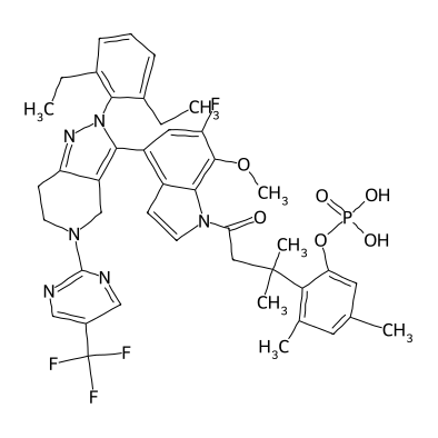 CCc1cccc(CC)c1-n1nc2c(c1-c1cc(F)c(OC)c3c1ccn3C(=O)CC(C)(C)c1c(C)cc(C)cc1OP(=O)(O)O)CN(c1ncc(C(F)(F)F)cn1)CC2